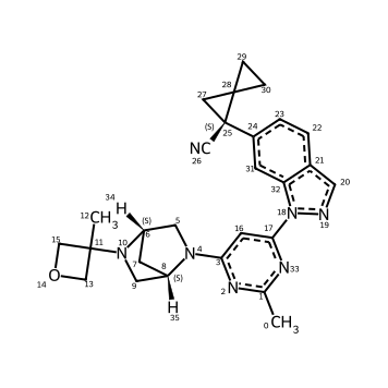 Cc1nc(N2C[C@@H]3C[C@H]2CN3C2(C)COC2)cc(-n2ncc3ccc([C@]4(C#N)CC45CC5)cc32)n1